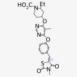 CCC1CC(Oc2ncnc(Oc3cccc(/C=C4\SC(=O)N(C)C4=O)c3)c2C)CCN1C(=O)O